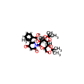 CC1=CN(C2OC3COC(C)(C)O[C@H]3C3OC(C)(C)O[C@@H]3[C@@]2(C)OC(=O)c2ccccc2)C(=O)CC1=O